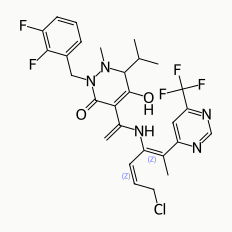 C=C(NC(/C=C\CCl)=C(/C)c1cc(C(F)(F)F)ncn1)C1=C(O)C(C(C)C)N(C)N(Cc2cccc(F)c2F)C1=O